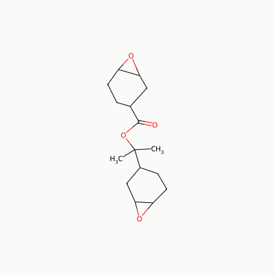 CC(C)(OC(=O)C1CCC2OC2C1)C1CCC2OC2C1